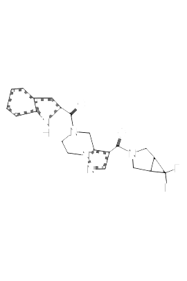 O=C(c1cc2ccccc2[nH]1)N1CCn2ncc(C(=O)N3CC4C(C3)C4(F)F)c2C1